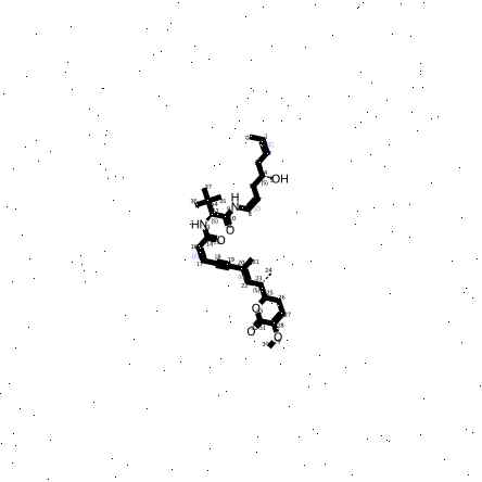 C/C=C\C[C@H](O)C/C=C\NC(=O)[C@@H](NC(=O)/C=C\C#C/C(C)=C/[C@H](C)C1CC=C(OC)C(=O)O1)C(C)(C)C